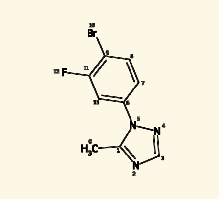 Cc1ncnn1-c1ccc(Br)c(F)c1